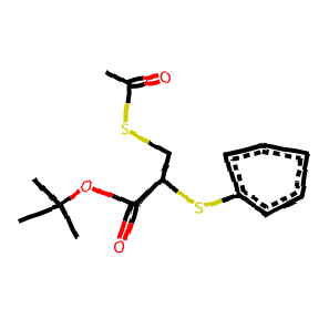 CC(=O)SCC(Sc1ccccc1)C(=O)OC(C)(C)C